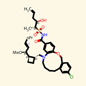 C=CC[C@@H](O)[C@@H](C)S(=O)(=O)NC(=O)c1ccc2c(c1)N(C[C@@H]1CC[C@H]1[C@H](/C=C/CCC)OC)CCCCc1cc(Cl)ccc1CO2